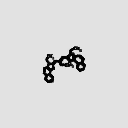 CCC(/C=C1\Sc2c(ccc3ccccc23)N1CC)=C\c1sc2c3ccccc3ccc2[n+]1CC